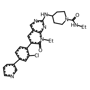 CCNC(=O)N1CCC(Nc2ncc3cc(-c4ccc(-c5cccnc5)cc4Cl)c(=O)n(CC)c3n2)CC1